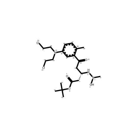 CB(O)N[C@H](CC(=O)OC(C)(C)C)CC(=O)c1cc(N(CCCl)CCCl)ccc1C